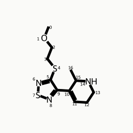 COCCSc1nsnc1C1=CCCNC1C